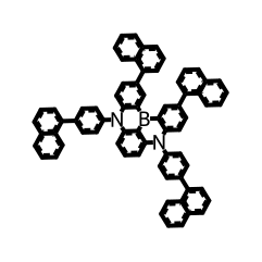 c1cc2c3c(c1)N(c1ccc(-c4cccc5ccccc45)cc1)c1ccc(-c4cccc5ccccc45)cc1B3c1cc(-c3cccc4ccccc34)ccc1N2c1ccc(-c2cccc3ccccc23)cc1